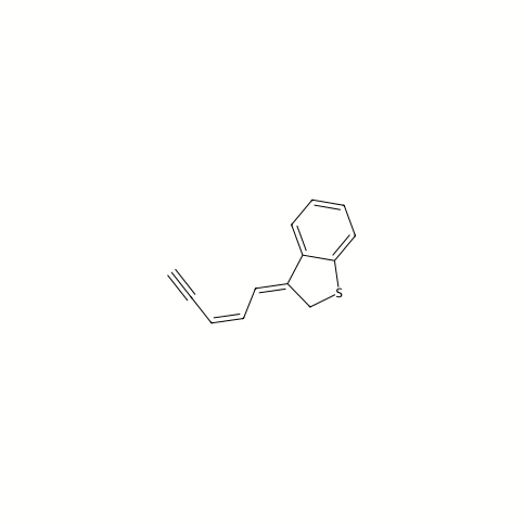 C#C/C=C\C=C1/CSc2ccccc21